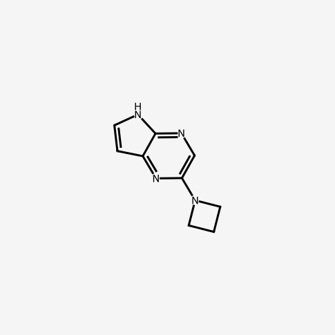 c1cc2nc(N3CCC3)cnc2[nH]1